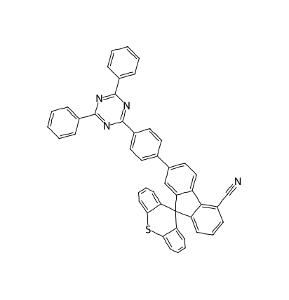 N#Cc1cccc2c1-c1ccc(-c3ccc(-c4nc(-c5ccccc5)nc(-c5ccccc5)n4)cc3)cc1C21c2ccccc2Sc2ccccc21